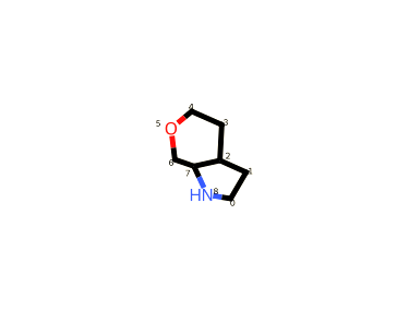 C1CC2CCOCC2N1